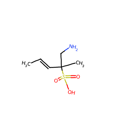 CC=CC(C)(CN)S(=O)(=O)O